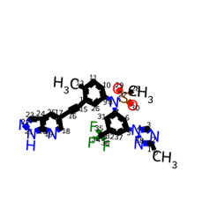 Cc1ncn(-c2cc(N(c3ccc(C)c(C#Cc4cnc5[nH]ncc5c4)c3)S(C)(=O)=O)cc(C(F)(F)F)c2)n1